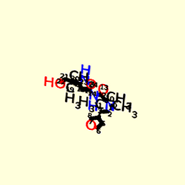 CN(CC[C@H]1CCOC1)C(C)(C)C(=O)NC1=CC(C(C)(C)CO)NO1